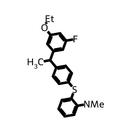 CCOc1cc(F)cc(C(C)c2ccc(Sc3ccccc3NC)cc2)c1